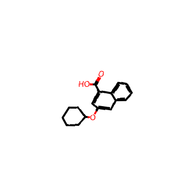 O=C(O)c1cc(OC2CCCCC2)cc2ccccc12